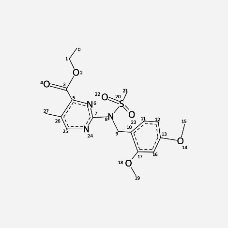 CCOC(=O)c1nc(N(Cc2ccc(OC)cc2OC)S(C)(=O)=O)ncc1C